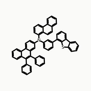 c1ccc(-c2c(-c3ccccc3)c3cc(N(c4cccc(-c5cccc6c5sc5ccccc56)c4)c4cccc5c4ccc4ccccc45)ccc3c3ccccc23)cc1